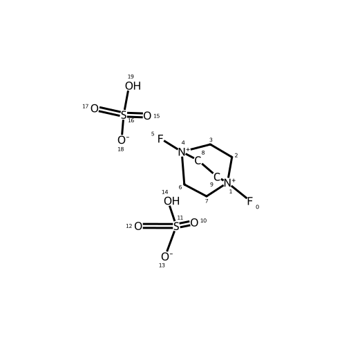 F[N+]12CC[N+](F)(CC1)CC2.O=S(=O)([O-])O.O=S(=O)([O-])O